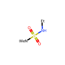 CCNS(=O)(=O)[N]C